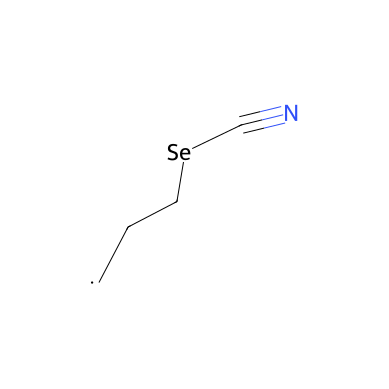 [CH2]CC[Se]C#N